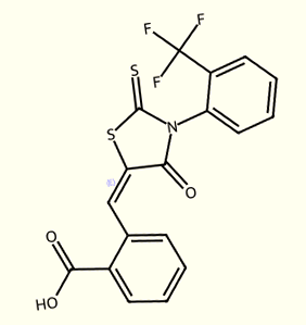 O=C(O)c1ccccc1/C=C1/SC(=S)N(c2ccccc2C(F)(F)F)C1=O